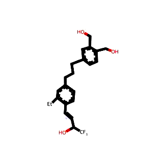 CCc1cc(CCCc2ccc(CO)c(CO)c2)ccc1/C=C/C(O)C(F)(F)F